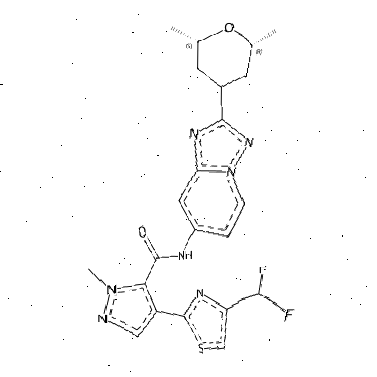 C[C@@H]1CC(c2nc3cc(NC(=O)c4c(-c5nc(C(F)F)cs5)cnn4C)ccn3n2)C[C@H](C)O1